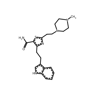 CN1CCN(CCc2nc(CCc3c[nH]c4ccccc34)c(C(N)=O)s2)CC1